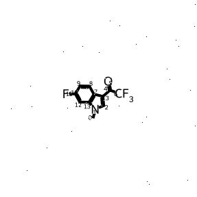 Cn1cc(C(=O)C(F)(F)F)c2ccc(F)cc21